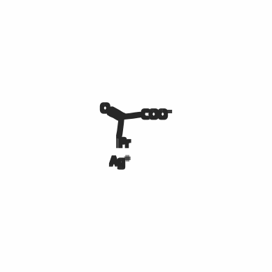 CC(C)C(=O)C(=O)[O-].[Ag+]